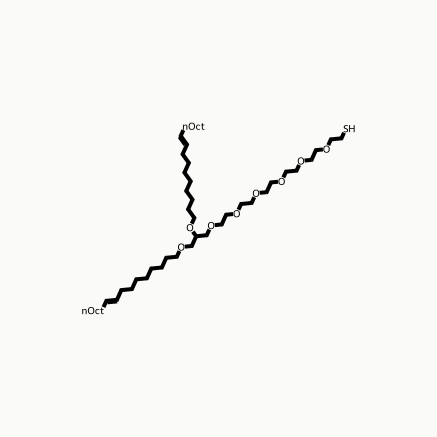 CCCCCCCCC=CCCCCCCCCOCC(COCCOCCOCCOCCOCCOCCS)OCCCCCCCCC=CCCCCCCCC